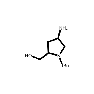 CC(C)(C)N1CC(N)CC1CO